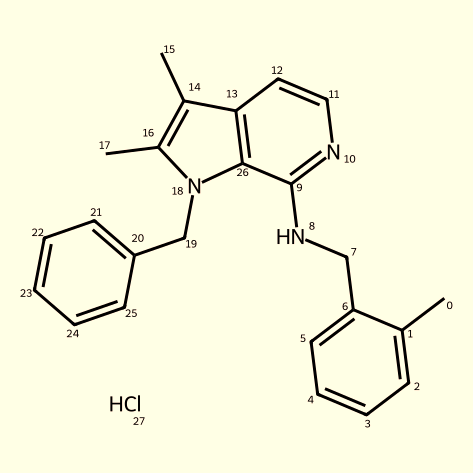 Cc1ccccc1CNc1nccc2c(C)c(C)n(Cc3ccccc3)c12.Cl